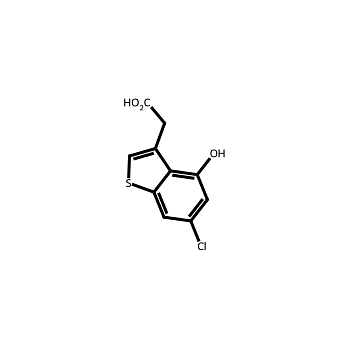 O=C(O)Cc1csc2cc(Cl)cc(O)c12